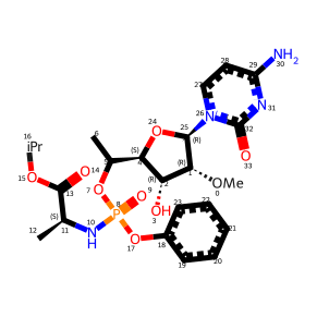 CO[C@@H]1[C@H](O)[C@@H](C(C)OP(=O)(N[C@@H](C)C(=O)OC(C)C)Oc2ccccc2)O[C@H]1n1ccc(N)nc1=O